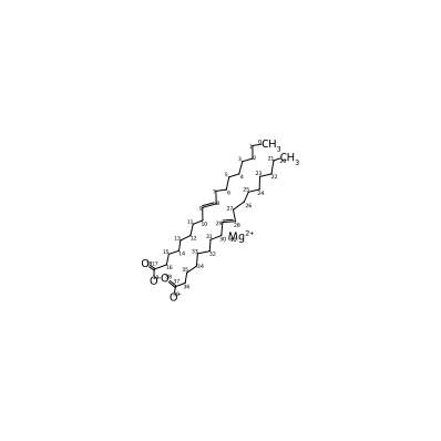 CCCCCCCC/C=C/CCCCCCCC(=O)[O-].CCCCCCCC/C=C/CCCCCCCC(=O)[O-].[Mg+2]